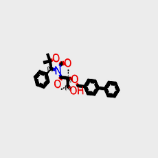 C[C@@H](O)[C@](C)(OCc1ccc(-c2ccccc2)cc1)C(=O)N1C(=O)OC(C)(C)[C@@H]1c1ccccc1